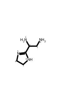 NCC(N)C1=NCCN1